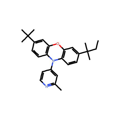 CCC(C)(C)c1ccc2c(c1)Oc1cc(C(C)(C)C)ccc1N2c1ccnc(C)c1